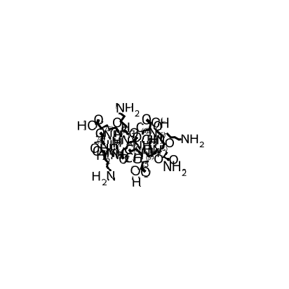 CC[C@H](C)[C@H](NC(=O)[C@H](CCCCN)NC(=O)[C@H](CCC(N)=O)NC(=O)[C@H](CCC(=O)O)NC(=O)[C@@H](NC(=O)[C@H](CCC(N)=O)NC(=O)[C@H](CCCCN)NC(=O)[C@H](CCC(=O)O)NC(=O)[C@H](CO)NC(=O)[C@@H](N)CCCCN)C(C)C)C(=O)O